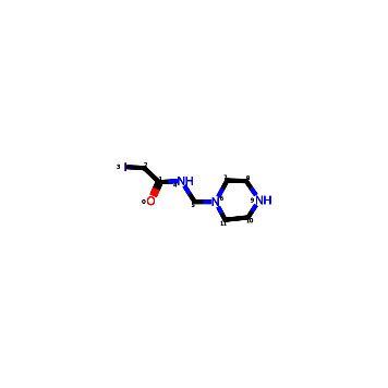 O=C(CI)NCN1CCNCC1